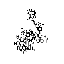 CC[C@H](C)[C@H](NC(=O)C(C)(C)N(C)C)C(=O)N(C)C(C[C@@H](OC(C)=O)c1nc(C(=O)N[C@@H](Cc2ccc(O)c(NC(=O)CCCNC(=O)[C@H](CN)N3C(=O)C=CC3=O)c2)CC(C)C(=O)O)cs1)C(C)C